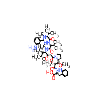 CC[C@H](C)C([C@@H](CC(=O)N1CCC[C@H]1[C@H](OC)[C@@H](C)C(=O)N[C@@H](Cc1ccccc1)C(=O)O)OC)N(C)C(=O)[C@@H](NC(=O)[C@H](C(C)C)N(C)Cc1cccc(N)c1)C(C)C